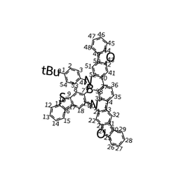 CC(C)(C)c1ccc(N2B3c4cc5sc6ccccc6c5cc4-n4c5cc6oc7ccccc7c6cc5c5ccc(c3c54)-c3cc4oc5ccccc5c4cc32)cc1